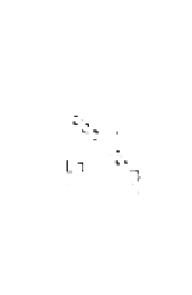 [La].[O]=[Cu]=[S]